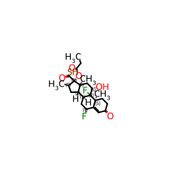 CCC(=O)O[C@]1(C(=O)S)[C@H](C)C[C@H]2[C@@H]3C[C@H](F)C4=CC(=O)CC[C@]4(C)[C@@]3(F)[C@@H](O)C[C@@]21C